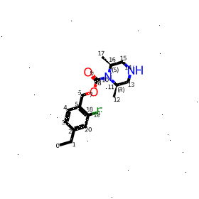 CCc1ccc(COC(=O)N2[C@H](C)CNC[C@@H]2C)c(F)c1